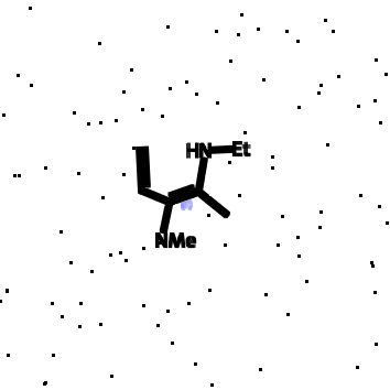 C=C/C(NC)=C(/C)NCC